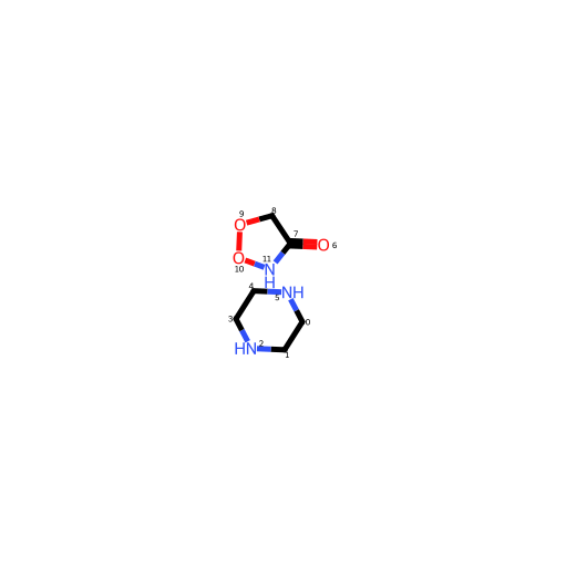 C1CNCCN1.O=C1COON1